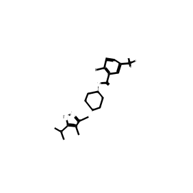 Cc1c(C[C@H]2CC[C@H](NC(=O)c3cc(C(F)(F)F)ccc3Cl)CC2)n[nH]c1C(C)C